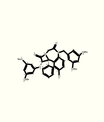 COc1cc(CN2C(=O)CN3C(=O)[C@@H](Oc4cc(OC)cc(OC)c4)[C@]3(c3ccccc3)c3cc(Cl)ccc32)cc(OC)c1